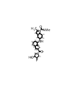 CNC(=O)n1c(C)cc2cc(Nc3ccnc4cc(C(=O)N5CC(F)[C@H](O)C5)sc34)ccc21